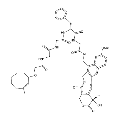 CC[C@@]1(O)C(=O)OCc2c1cc1n(c2=O)Cc2c-1cc1ccc(OC)cc1c2CNC(=O)CNC(=O)[C@H](Cc1ccccc1)NC(=O)CNC(=O)CNC(=O)COC1/C=C(/C)CCCCC1